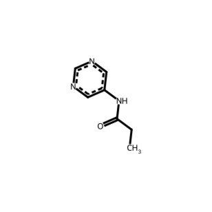 CCC(=O)Nc1cncnc1